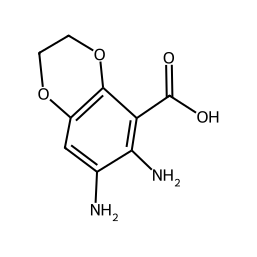 Nc1cc2c(c(C(=O)O)c1N)OCCO2